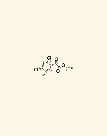 CCOC(=O)C(=O)c1cc(C)c(Cl)cc1Cl